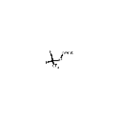 CCCCC[I+]C(F)(F)C(F)(F)F